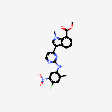 COC(=O)c1cccc2c(-c3ccnc(Nc4cc([N+](=O)[O-])c(F)cc4C)n3)cn(C)c12